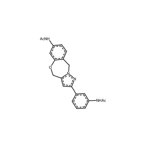 CC(=O)Nc1cccc(-c2cc3n(n2)Cc2ccc(NC(C)=O)cc2OC3)c1